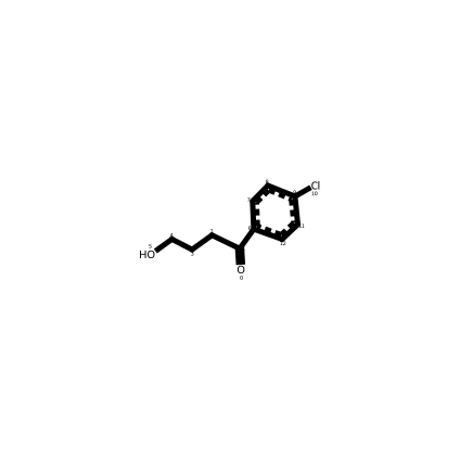 O=C(CCCO)c1ccc(Cl)cc1